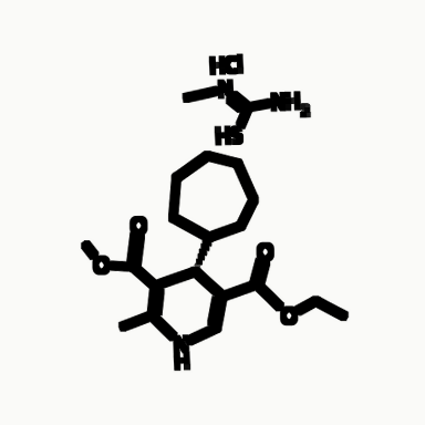 CCOC(=O)C1=CNC(C)=C(C(=O)OC)[C@@H]1C1CCCCCC1.CN=C(N)S.Cl